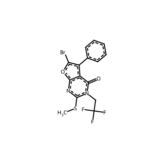 CSc1nc2oc(Br)c(-c3ccccc3)c2c(=O)n1CC(F)(F)F